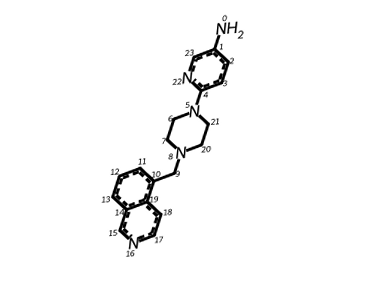 Nc1ccc(N2CCN(Cc3cccc4cnccc34)CC2)nc1